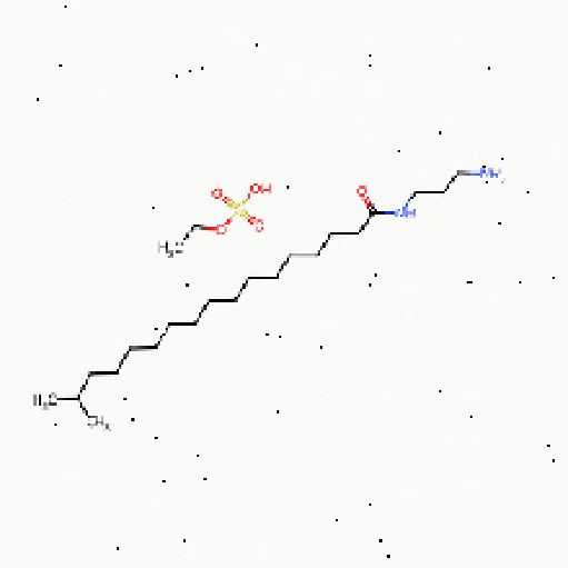 CC(C)CCCCCCCCCCCCCCC(=O)NCCCN.CCOS(=O)(=O)O